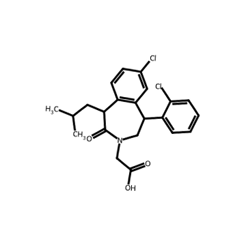 CC(C)CC1C(=O)N(CC(=O)O)CC(c2ccccc2Cl)c2cc(Cl)ccc21